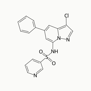 O=S(=O)(Nc1cc(-c2ccccc2)cc2c(Cl)cnn12)c1cccnc1